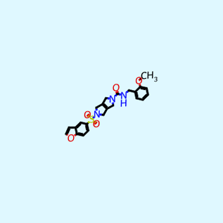 COc1ccccc1CNC(=O)N1CC2=C(C1)CN(S(=O)(=O)c1ccc3occc3c1)C2